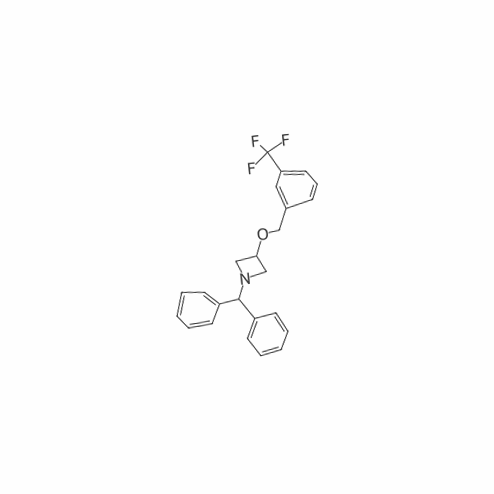 FC(F)(F)c1cccc(COC2CN(C(c3ccccc3)c3ccccc3)C2)c1